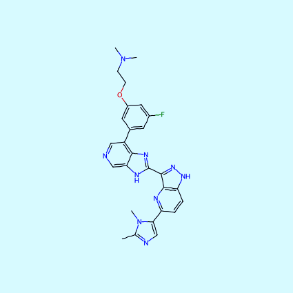 Cc1ncc(-c2ccc3[nH]nc(-c4nc5c(-c6cc(F)cc(OCCN(C)C)c6)cncc5[nH]4)c3n2)n1C